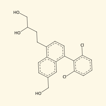 OCc1ccc2c(CCC(O)CO)ccc(-c3c(Cl)cccc3Cl)c2c1